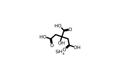 O=C(O)CC(O)(CC(=O)O)C(=O)O.[SiH4]